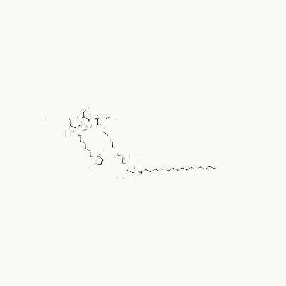 CCCCCCCCCCCCC(NC(=O)CCCCCN1C(=O)C=CC1=O)C(=O)NC(CCCCCCCCCCCC)C(=O)NC(CCCCCCCCCCCC)C(=O)NCCOCCOCCC(=O)NCC(NC(=O)CCCCCCCCCCCCCCCCC(=O)O)C(=O)O